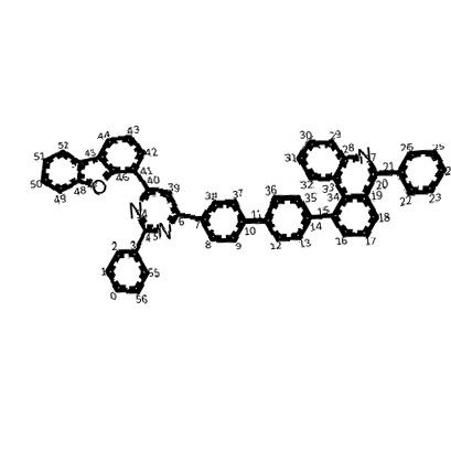 c1ccc(-c2nc(-c3ccc(-c4ccc(-c5cccc6c(-c7ccccc7)nc7ccccc7c56)cc4)cc3)cc(-c3cccc4c3oc3ccccc34)n2)cc1